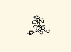 Cc1ccc(COC(=O)C2=C(CCl)CSC3C(N4C(=O)C5=C(SCCS5)C4=O)C(=O)N23)cc1